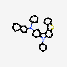 c1ccc(N(c2ccc3ccccc3c2)c2ccc3c(c2)c2c4c(ccc2n3-c2ccccc2)sc2ccccc24)cc1